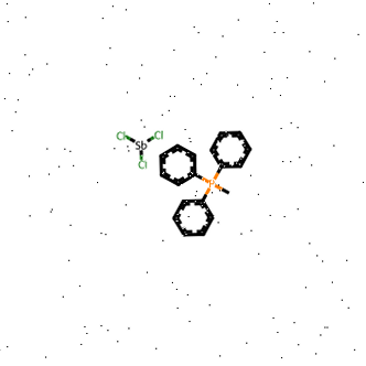 C[P](c1ccccc1)(c1ccccc1)c1ccccc1.[Cl][Sb]([Cl])[Cl]